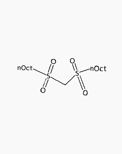 CCCCCCCCS(=O)(=O)CS(=O)(=O)CCCCCCCC